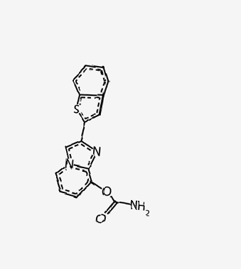 NC(=O)Oc1cccn2cc(-c3cc4ccccc4s3)nc12